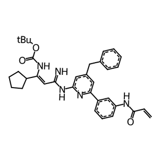 C=CC(=O)Nc1cccc(-c2cc(Cc3ccccc3)cc(NC(=N)/C=C(\NC(=O)OC(C)(C)C)C3CCCC3)n2)c1